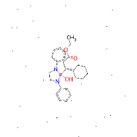 CCOC(=O)CC(=C1CCCCC1)[P]1(O)N(c2ccccc2)CCN1c1ccccc1